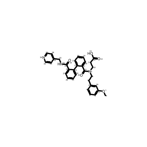 COc1cccc(CCN(CCC(=O)O)C(=O)c2ccccc2-c2ccccc2C(=O)NCc2ccncc2)c1